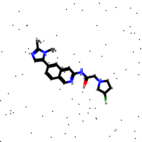 Cc1ncc(-c2ccc3cnc(NC(=O)CN4CCC(F)C4)cc3c2)n1C